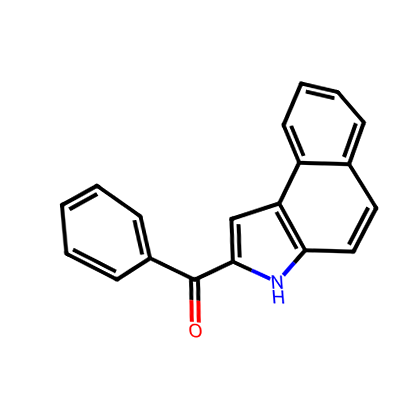 O=C(c1ccccc1)c1cc2c(ccc3ccccc32)[nH]1